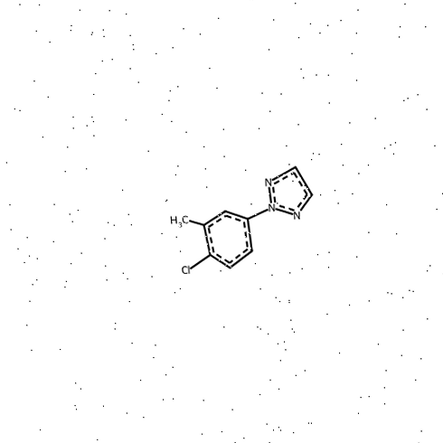 Cc1cc(-n2nccn2)ccc1Cl